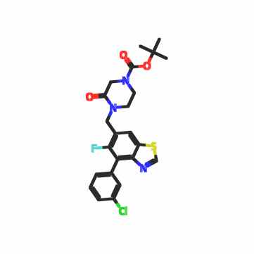 CC(C)(C)OC(=O)N1CCN(Cc2cc3scnc3c(-c3cccc(Cl)c3)c2F)C(=O)C1